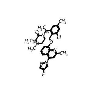 Cc1cc(Cl)c(COc2cccc3c(-n4cc(F)cn4)cc(C)nc23)c([C@H](C)N2CCN(C)[C@@H](C)C2=O)c1